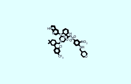 CC1(C)CCC(CN2CCN(C3(C(=O)NS(=O)(=O)c4ccc(NCC5CCOCC5)c([N+](=O)[O-])c4)C=CC=CC3Oc3cnc4[nH]ccc4c3)CC2)=C(c2ccc(C(F)(F)F)cc2Cl)C1